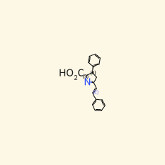 O=C(O)[C@H]1N=C(/C=C/c2ccccc2)C[C@@H]1c1ccccc1